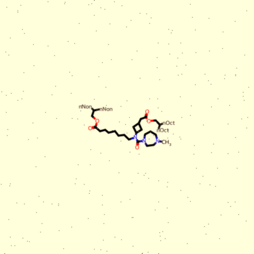 CCCCCCCCCC(CCCCCCCCC)COC(=O)CCCCCCCN(C(=O)N1CCCN(C)CC1)C1CC(CC(=O)OCC(CCCCCCCC)CCCCCCCC)C1